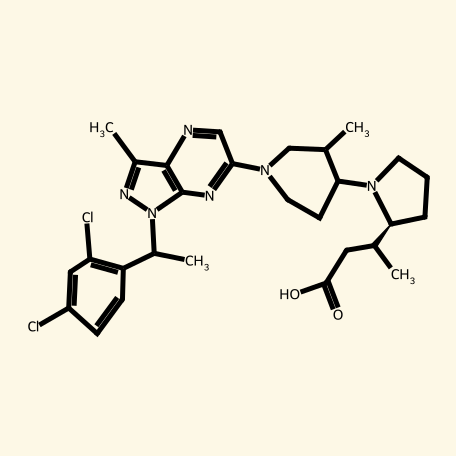 Cc1nn(C(C)c2ccc(Cl)cc2Cl)c2nc(N3CCC(N4CCC[C@H]4C(C)CC(=O)O)C(C)C3)cnc12